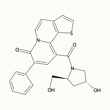 O=C(c1cc(-c2ccccc2)c(=O)n2ccc3ccsc3c12)N1C[C@H](O)C[C@H]1CO